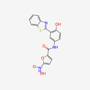 O=C(Nc1ccc(O)c(-c2nc3ccccc3s2)c1)c1ccc([NH+]([O-])O)o1